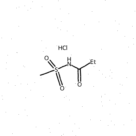 CCC(=O)NS(C)(=O)=O.Cl